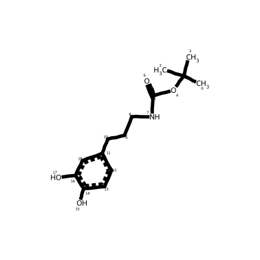 CC(C)(C)OC(=O)NC[CH]Cc1ccc(O)c(O)c1